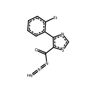 CCc1ccccc1-c1ncsc1C(=O)N=[N+]=N